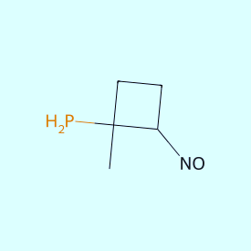 CC1(P)CCC1N=O